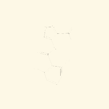 O=C(Cl)c1n[nH]cc1NC(=O)c1c(Cl)cccc1Cl